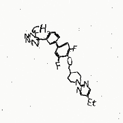 CCc1cnc(N2CCC(COc3c(F)cc(-c4cccc(-c5nnnn5C)c4)cc3F)CC2)nc1